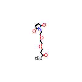 CC(C)(C)C(=O)CCOCCOCCN1C(=O)C=CC1=O